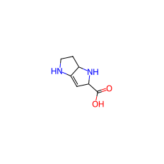 O=C(O)C1C=C2NCCC2N1